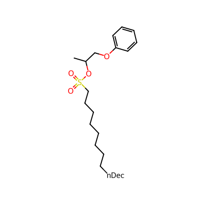 CCCCCCCCCCCCCCCCCCS(=O)(=O)OC(C)COc1ccccc1